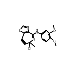 COc1ccc(NC2=NC(C)(Cl)C#Cc3scnc32)cc1OC